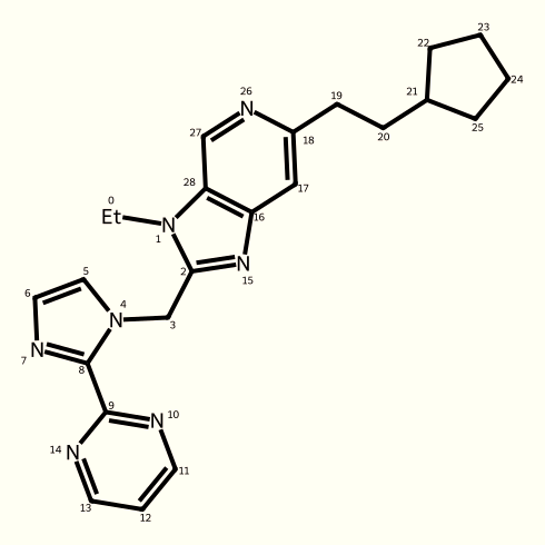 CCn1c(Cn2ccnc2-c2ncccn2)nc2cc(CCC3CCCC3)ncc21